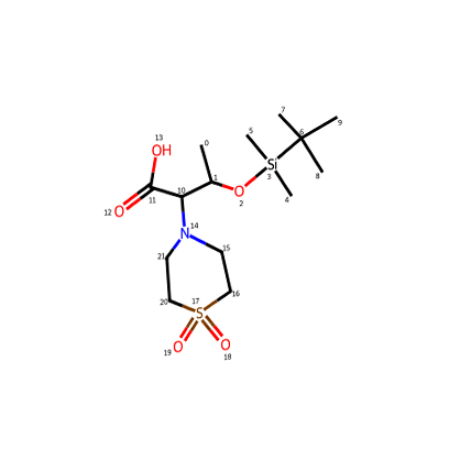 CC(O[Si](C)(C)C(C)(C)C)C(C(=O)O)N1CCS(=O)(=O)CC1